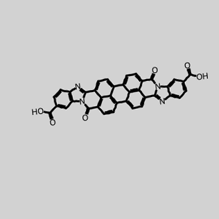 O=C(O)c1ccc2nc3c4ccc5c6ccc7c(=O)n8c9cc(C(=O)O)ccc9nc8c8ccc(c9ccc(c(=O)n3c2c1)c4c95)c6c78